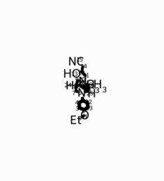 CCOc1ccc(N2C[C@H]3CN(CC(O)CC#N)C[C@@H]2C(C)(C)C3)cc1